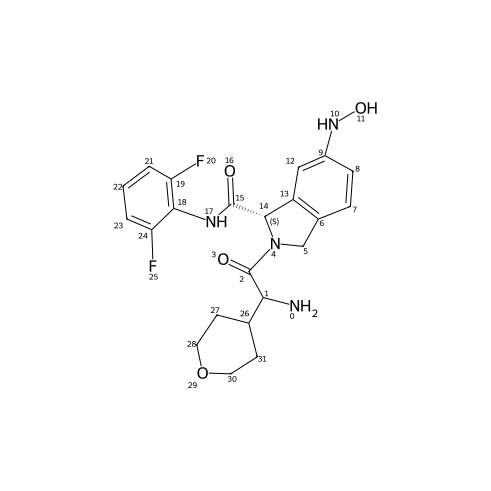 NC(C(=O)N1Cc2ccc(NO)cc2[C@H]1C(=O)Nc1c(F)cccc1F)C1CCOCC1